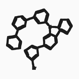 Brc1cccc(-c2ccc3c4ccccc4n(-c4cccc(-c5cccc(-c6ccccc6)c5)c4)c3c2)c1